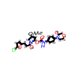 CO[C@@H]1C[C@@H](OC(=O)Nc2ccc(N3CCOCC3=O)cc2)N(C(=O)/C=C/c2ccc(Cl)o2)C1